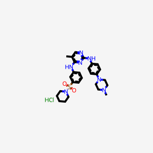 Cc1cnc(Nc2ccc(N3CCN(C)CC3)cc2)nc1Nc1cccc(S(=O)(=O)N2CCCCC2)c1.Cl